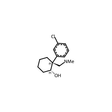 CNC[C@]1(c2cccc(Cl)c2)CCCC[C@H]1O